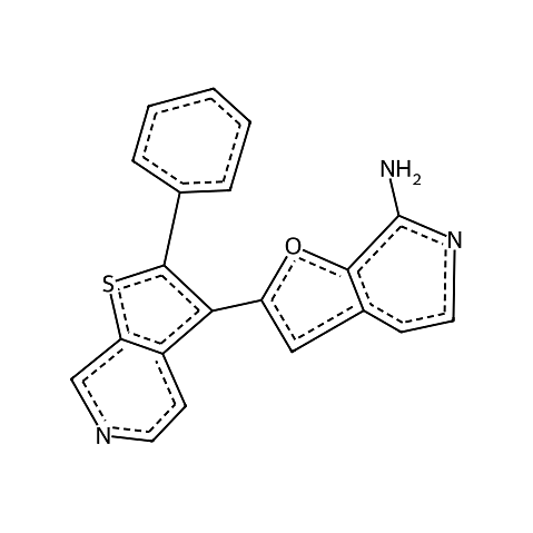 Nc1nccc2cc(-c3c(-c4ccccc4)sc4cnccc34)oc12